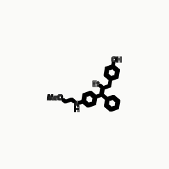 CC/C(Cc1ccc(O)cc1)=C(/c1ccccc1)c1ccc(NCCOC)cc1